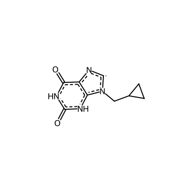 O=c1[nH]c(=O)c2n[c]n(CC3CC3)c2[nH]1